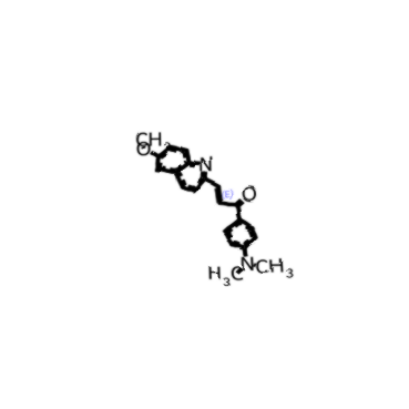 COc1ccc2nc(/C=C/C(=O)c3ccc(N(C)C)cc3)ccc2c1